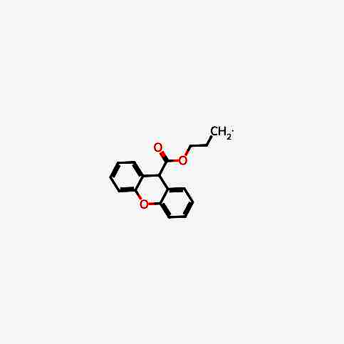 [CH2]CCOC(=O)C1c2ccccc2Oc2ccccc21